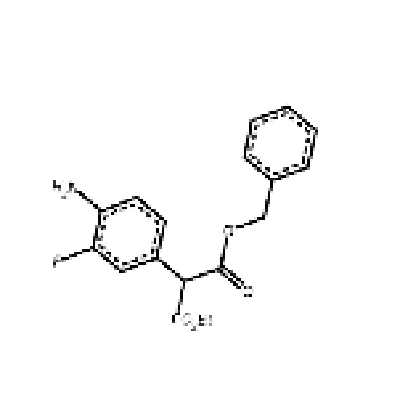 CCOC(=O)C(C(=O)OCc1ccccc1)c1ccc(N)c(F)c1